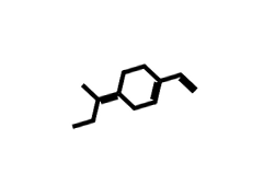 C=CC1=CCC(=C(C)CC)CC1